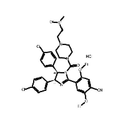 CCOc1cc(C2=N[C@@H](c3ccc(Cl)cc3)[C@@H](c3ccc(Cl)cc3)N2C(=O)N2CCN(CC[S+](C)[O-])CC2)c(OCC)cc1C#N.Cl